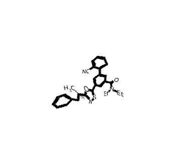 CCN(CC)C(=O)c1cc(-c2nnc([C@@H](C)Cc3ccccc3)o2)cc(-c2ccccc2C#N)c1